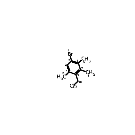 Cc1cc(Br)c(C)c(C)c1CCl